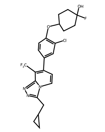 OC1(F)CCC(Oc2ccc(-c3ccn4c(CC5CC5)nnc4c3C(F)(F)F)cc2Cl)CC1